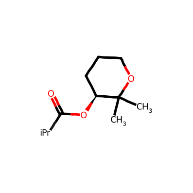 CC(C)C(=O)O[C@H]1CCCOC1(C)C